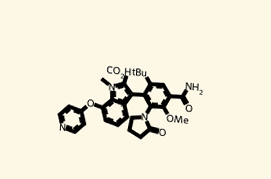 COc1c(C(N)=O)cc(C(C)(C)C)c(-c2c(C(=O)O)n(C)c3c(Oc4ccncc4)cccc23)c1N1CCCC1=O